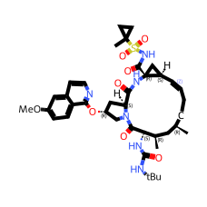 COc1ccc2c(O[C@@H]3C[C@H]4C(=O)N[C@]5(C(=O)NS(=O)(=O)C6(C)CC6)C[C@H]5/C=C\CC[C@@H](C)C[C@@H](C)[C@H](NC(=O)NC(C)(C)C)C(=O)N4C3)nccc2c1